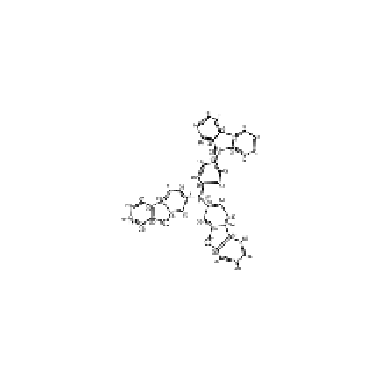 c1ccc2c(c1)c1ccccc1n2-c1ccc(N(c2ccc3c(c2)oc2cnccc23)c2ccc3c(c2)oc2cnccc23)cc1